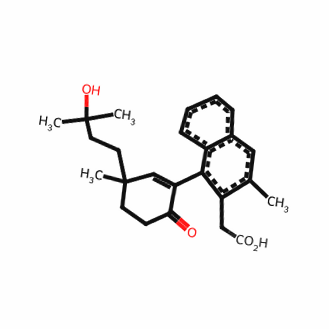 Cc1cc2ccccc2c(C2=CC(C)(CCC(C)(C)O)CCC2=O)c1CC(=O)O